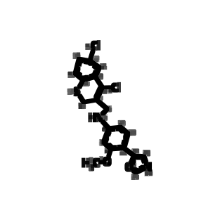 COc1cc(NCC2=C(Cl)c3cc(Cl)ccc3SC2)ccc1-c1cnco1